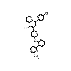 Nc1nccc(-c2cccnc2Oc2ccc(N3C=C(c4ccc(Cl)cc4)c4ccccc4C3N)cc2)n1